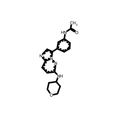 CC(=O)Nc1cccc(-c2cnc3ccc(NC4CCOCC4)nn23)c1